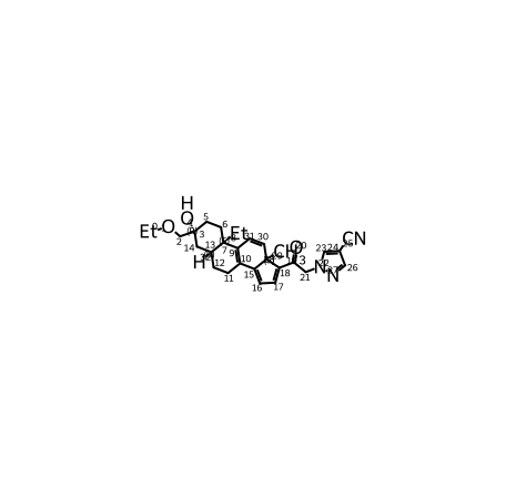 CCOC[C@@]1(O)CC[C@]2(CC)C3=C(CC[C@@H]2C1)C1=CC=C(C(=O)Cn2cc(C#N)cn2)[C@@]1(C)C=C3